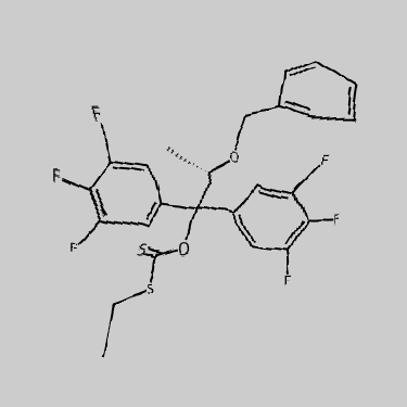 CCSC(=S)OC(c1cc(F)c(F)c(F)c1)(c1cc(F)c(F)c(F)c1)[C@H](C)OCc1ccccc1